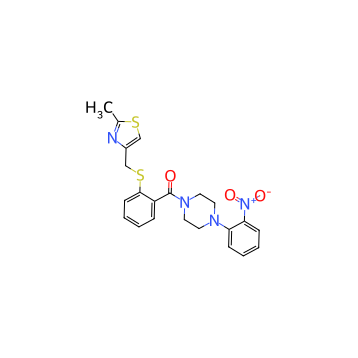 Cc1nc(CSc2ccccc2C(=O)N2CCN(c3ccccc3[N+](=O)[O-])CC2)cs1